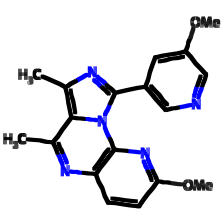 COc1cncc(-c2nc(C)c3c(C)nc4ccc(OC)nc4n23)c1